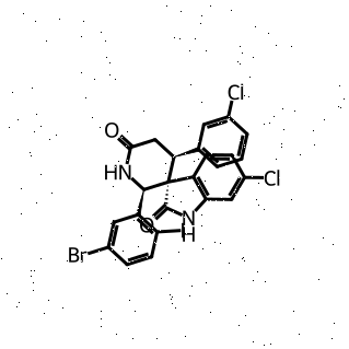 O=C1C[C@@H](c2cccc(Cl)c2)[C@]2(C(=O)Nc3cc(Cl)ccc32)[C@@H](c2cc(Br)ccc2I)N1